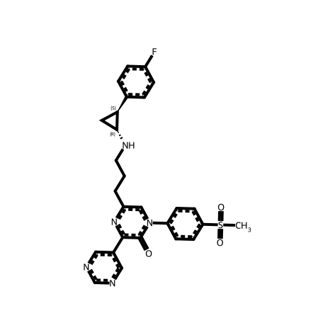 CS(=O)(=O)c1ccc(-n2cc(CCCN[C@@H]3C[C@H]3c3ccc(F)cc3)nc(-c3cncnc3)c2=O)cc1